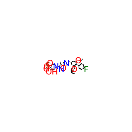 CCOc1cc(CN2CC3(C2)ON=C(N2CCC(C(=O)O)(S(C)(=O)=O)CC2)C3C)cc(OCC)c1-c1ccc(F)cc1